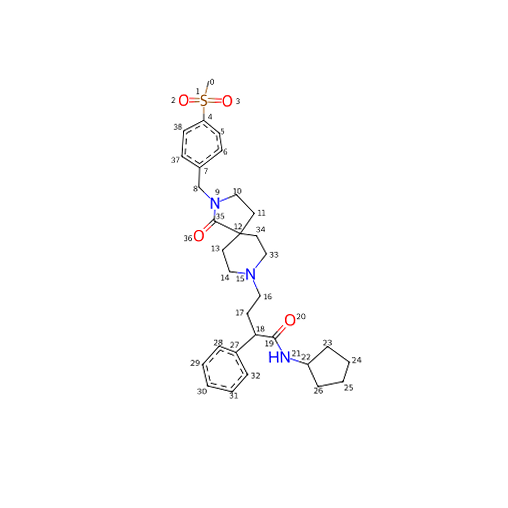 CS(=O)(=O)c1ccc(CN2CCC3(CCN(CCC(C(=O)NC4CCCC4)c4ccccc4)CC3)C2=O)cc1